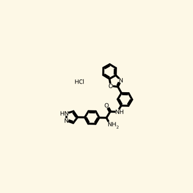 Cl.NC(C(=O)Nc1cccc(-c2nc3ccccc3o2)c1)c1ccc(-c2cn[nH]c2)cc1